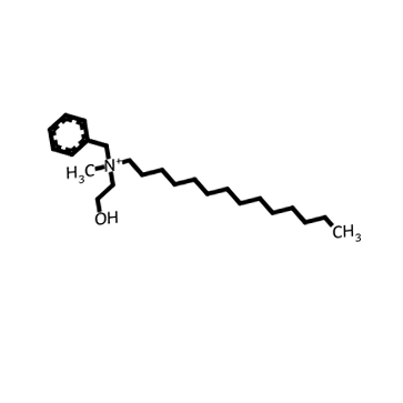 CCCCCCCCCCCCCC[N+](C)(CCO)Cc1ccccc1